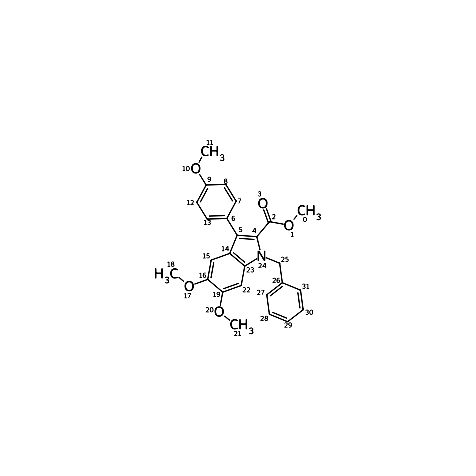 COC(=O)c1c(-c2ccc(OC)cc2)c2cc(OC)c(OC)cc2n1Cc1ccccc1